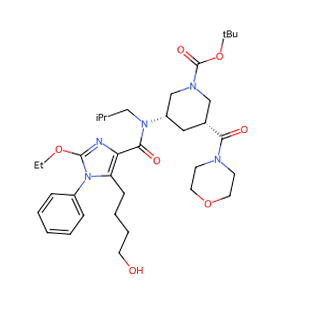 CCOc1nc(C(=O)N(CC(C)C)[C@H]2C[C@@H](C(=O)N3CCOCC3)CN(C(=O)OC(C)(C)C)C2)c(CCCCO)n1-c1ccccc1